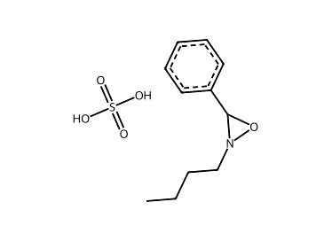 CCCCN1OC1c1ccccc1.O=S(=O)(O)O